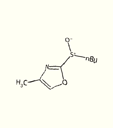 CCCC[S+]([O-])c1nc(C)co1